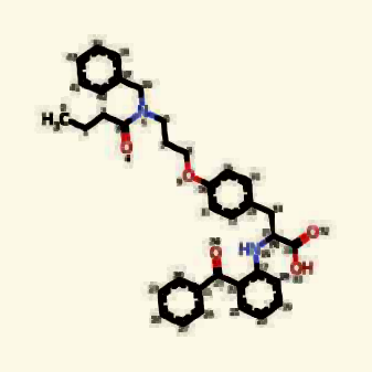 CCCC(=O)N(CCCOc1ccc(C[C@H](Nc2ccccc2C(=O)c2ccccc2)C(=O)O)cc1)Cc1ccccc1